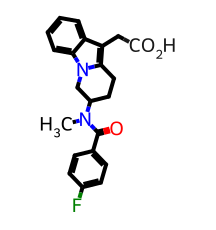 CN(C(=O)c1ccc(F)cc1)C1CCc2c(CC(=O)O)c3ccccc3n2C1